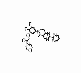 CC1c2cnc(-c3ncccn3)nc2CCN1c1cc(F)c(F)c(OCC(=O)N2CCOCC2)c1